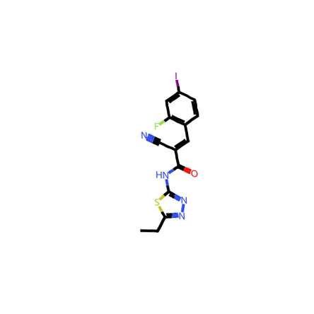 CCc1nnc(NC(=O)/C(C#N)=C/c2ccc(I)cc2F)s1